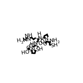 N=C(N)NCCC[C@H](NC(=O)[C@@H]1CCCN1C(=O)[C@@H](N)CS)C(=O)N[C@@H](CS)C(=O)N1CCC[C@H]1C(=O)O